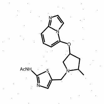 CC(=O)Nc1ncc(CN2CC(Oc3cccc4nccn34)CC2C)s1